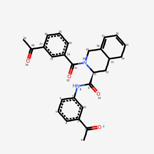 CC(=O)c1cccc(NC(=O)[C@@H]2CC3CC=CC=C3CN2C(=O)c2cccc(C(C)=O)c2)c1